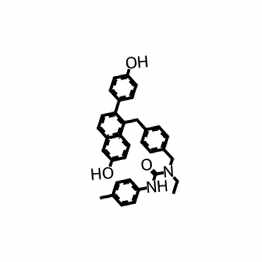 CCN(Cc1ccc(Cc2c(-c3ccc(O)cc3)ccc3cc(O)ccc23)cc1)C(=O)Nc1ccc(C)cc1